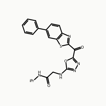 CC(C)NC(=O)CNc1nnc(C(=O)c2nc3ccc(-c4ccccc4)cc3s2)o1